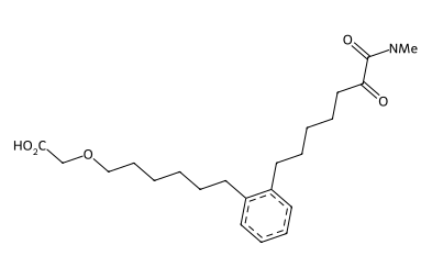 CNC(=O)C(=O)CCCCCc1ccccc1CCCCCCOCC(=O)O